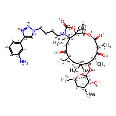 CC[C@H]1OC(=O)[C@H](C)C(=O)[C@H](C)[C@@H](O[C@@H]2O[C@H](C)C[C@H](NC)[C@H]2O)[C@@](C)(OC)C[C@@H](C)C(=O)[C@H](C)[C@H]2N(CCCCn3cc(-c4cccc(N)c4)nn3)C(=O)O[C@]12C